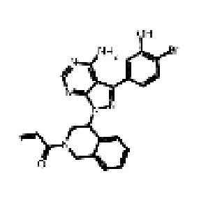 C=CC(=O)N1Cc2ccccc2C(n2nc(-c3ccc(Br)c(O)c3)c3c(N)ncnc32)C1